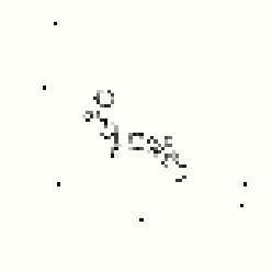 O=C(c1ccc(NS(=O)(=O)c2cc3ccccc3s2)cc1)N1CCN(C(=O)c2ccccn2)CC1